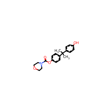 CC(C)(c1ccc(O)cc1)c1ccc(OC(=O)N2CCOCC2)cc1